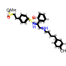 COS(=O)CCc1ccc([S+]([O-])NC(CNCCCCC2=CCC(C)=CC2)c2ccccc2)cc1